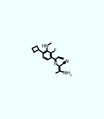 C=C/C(=N\C(C#N)=C(/C)N)c1ccc(C2CCC2)c(NC)c1F